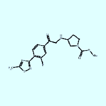 CC(C)(C)OC(=O)N1CCC(NCC(=O)c2ccc(-c3noc(C(F)(F)F)n3)c(F)c2)C1